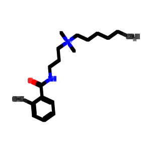 C[N+](C)(CCCCCC(=O)O)CCCNC(=O)c1ccccc1C=O